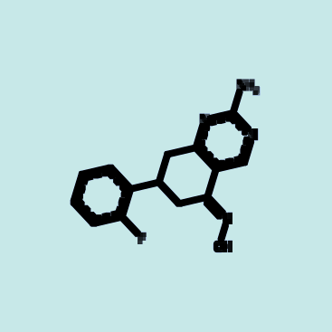 Nc1ncc2c(n1)CC(c1ccccc1F)C/C2=N\O